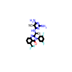 CCC(Nc1nc(N)nc(N)c1C#N)c1nc2cccc(C(F)F)c2c(=O)n1-c1cc(F)cc(F)c1